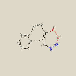 c1ccc2c3c(ccc2c1)OONNC3